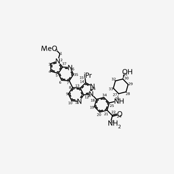 COCn1ccc2cc(-c3ccnc4c3c(C(C)C)nn4-c3ccc(C(N)=O)c(N[C@H]4CC[C@H](O)CC4)c3)cnc21